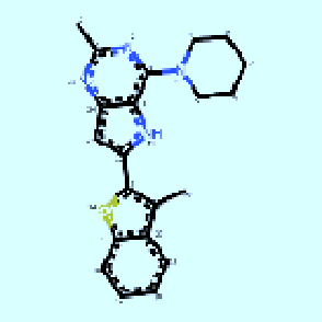 Cc1nc(N2CCCCC2)c2[nH]c(-c3sc4ccccc4c3C)cc2n1